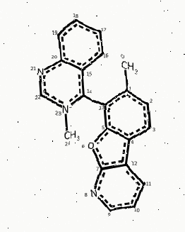 Cc1ccc2c(oc3ncccc32)c1-c1c2ccccc2nc[n+]1C